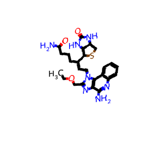 CCOCc1nc2c(N)nc3ccccc3c2n1CCC(CCCC(N)=O)C1SCC2NC(=O)NC21